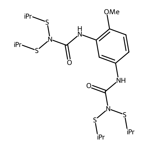 COc1ccc(NC(=O)N(SC(C)C)SC(C)C)cc1NC(=O)N(SC(C)C)SC(C)C